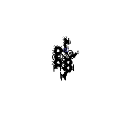 CCOc1cc2ncc(C#N)c(Nc3ccc(Oc4ccccc4)cc3F)c2cc1NC(=O)/C=C/CN(C)C